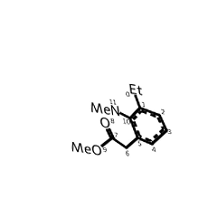 CCc1cccc(CC(=O)OC)c1NC